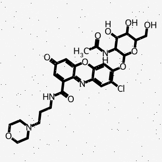 CC(=O)NC1C(Oc2cc3oc4cc(=O)cc(C(=O)NCCCN5CCOCC5)c-4nc3cc2Cl)OC(CO)C(O)C1O